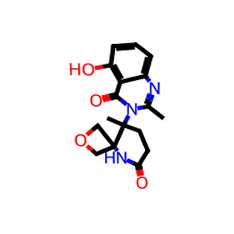 Cc1nc2cccc(O)c2c(=O)n1C1(C)CCC(=O)NC12COC2